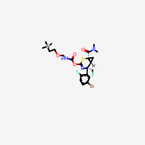 CN(C)C(=O)[C@]12C[C@H]1[C@@](CF)(c1cc(Br)ccc1F)N=C(OC(=O)NCOCC[Si](C)(C)C)S2